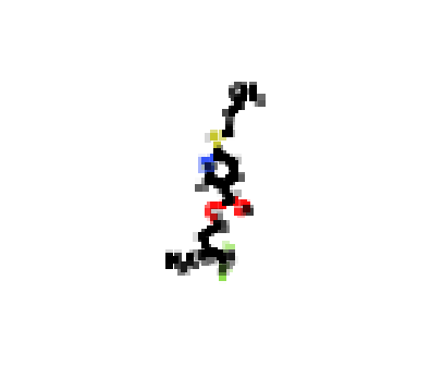 CCCCSc1ccc(C(=O)OCCC(C)=C(F)F)cn1